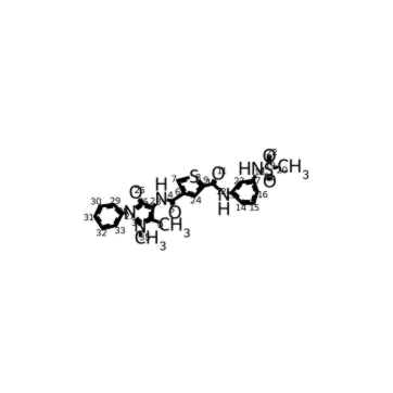 Cc1c(NC(=O)c2csc(C(=O)Nc3cccc(NS(C)(=O)=O)c3)c2)c(=O)n(-c2ccccc2)n1C